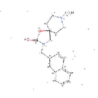 O=C(O)N1CCC2(CC1)CN(Cc1ccc3ccccc3c1)C(=O)O2